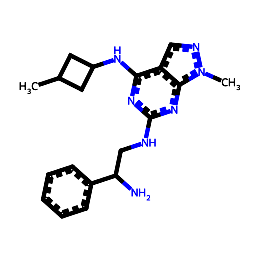 CC1CC(Nc2nc(NCC(N)c3ccccc3)nc3c2cnn3C)C1